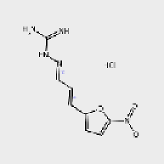 Cl.N=C(N)N/N=C/C=C/c1ccc([N+](=O)[O-])o1